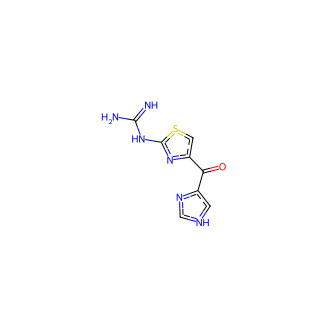 N=C(N)Nc1nc(C(=O)c2c[nH]cn2)cs1